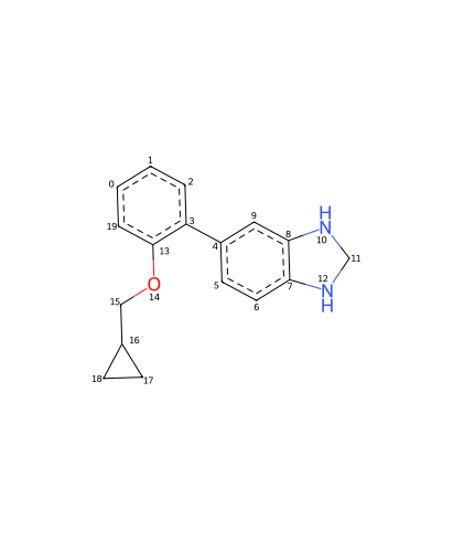 c1ccc(-c2ccc3c(c2)NCN3)c(OCC2CC2)c1